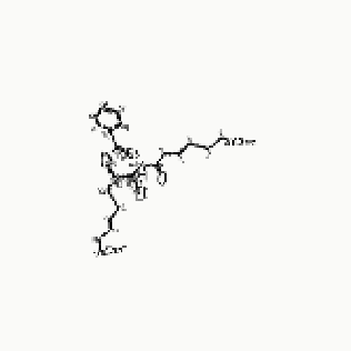 CCCCCCCCCCCCCCCC(=O)N[C@@H](CC)[C@@H](CCCCCCCCCCCCCCC)OC(=O)c1ccccc1